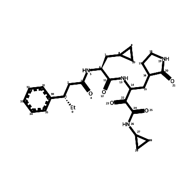 CC[C@@H](CC(=O)N[C@@H](CC1CC1)C(=O)NC(CC1CCNC1=O)C(=O)C(=O)NC1CC1)c1ccccc1